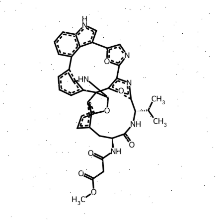 COC(=O)CC(=O)N[C@H]1Cc2ccc3c(c2)C24c5cccc(c5NC2O3)-c2cccc3[nH]cc(c23)-c2cnc(o2)-c2nc(oc24)[C@H](C(C)C)NC1=O